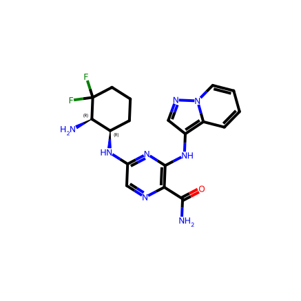 NC(=O)c1ncc(N[C@@H]2CCCC(F)(F)[C@@H]2N)nc1Nc1cnn2ccccc12